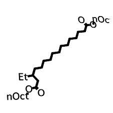 CCCCCCCCOC(=O)CCCCCCCCCCCCC(CC)CC(=O)OCCCCCCCC